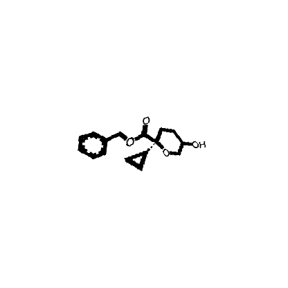 O=C(OCc1ccccc1)[C@@]1(C2CC2)CCC(O)CO1